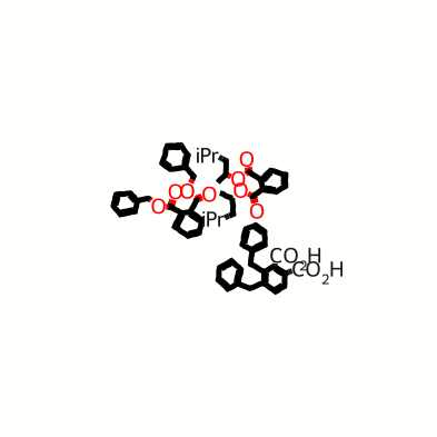 CC(C)CC(C)OC(=O)c1ccccc1C(=O)OC(C)CC(C)C.O=C(O)c1ccc(Cc2ccccc2)c(Cc2ccccc2)c1C(=O)O.O=C(OCc1ccccc1)c1ccccc1C(=O)OCc1ccccc1